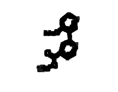 COc1ccncc1-c1cc(C(=O)OC(C)(C)C)ccn1